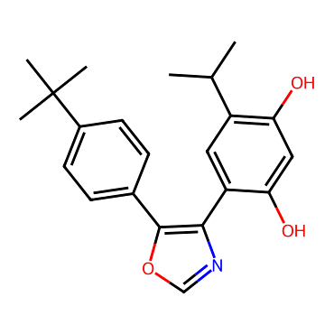 CC(C)c1cc(-c2ncoc2-c2ccc(C(C)(C)C)cc2)c(O)cc1O